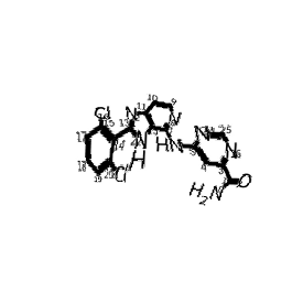 NC(=O)c1cc(Nc2nccc3nc(-c4c(Cl)cccc4Cl)[nH]c23)ncn1